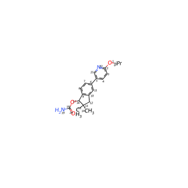 CC(C)Oc1ccc(-c2ccc3c(c2)CC(C)(C)C3OC(N)=O)cn1